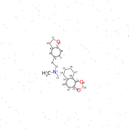 CN(CCc1ccc2c(c1)CCO2)C[C@@H]1CCCc2c1ccc1c2OCO1